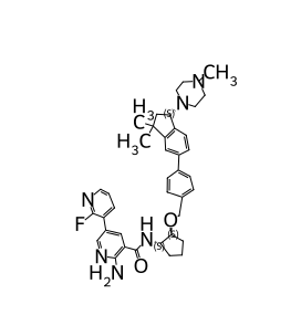 CN1CCN([C@H]2CC(C)(C)c3cc(-c4ccc(CO[C@H]5CCC[C@@H]5NC(=O)c5cc(-c6cccnc6F)cnc5N)cc4)ccc32)CC1